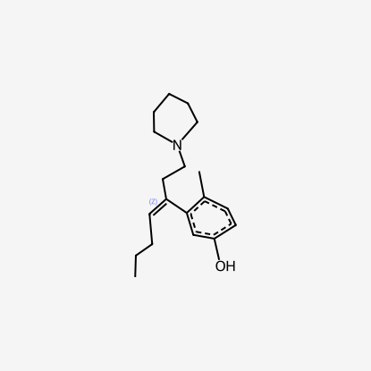 CCC/C=C(/CCN1CCCCC1)c1cc(O)ccc1C